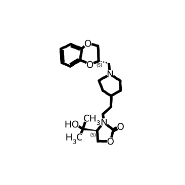 CC(C)(O)[C@@H]1COC(=O)N1CCC1CCN(C[C@H]2COc3ccccc3O2)CC1